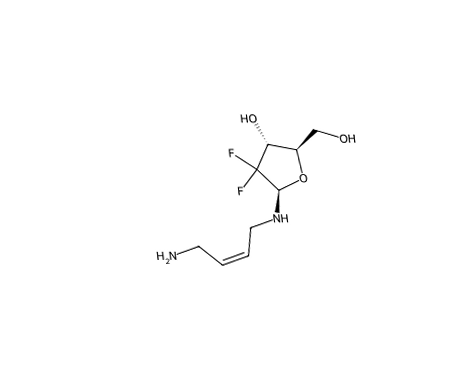 NC/C=C\CN[C@@H]1O[C@H](CO)[C@@H](O)C1(F)F